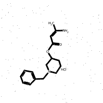 CC(N)=CC(=O)OC1CCCN(Cc2ccccc2)C1.Cl